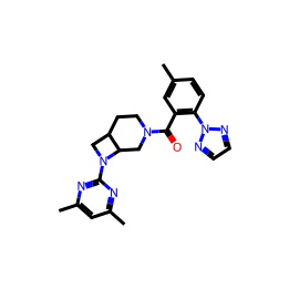 Cc1ccc(-n2nccn2)c(C(=O)N2CCC3CN(c4nc(C)cc(C)n4)C3C2)c1